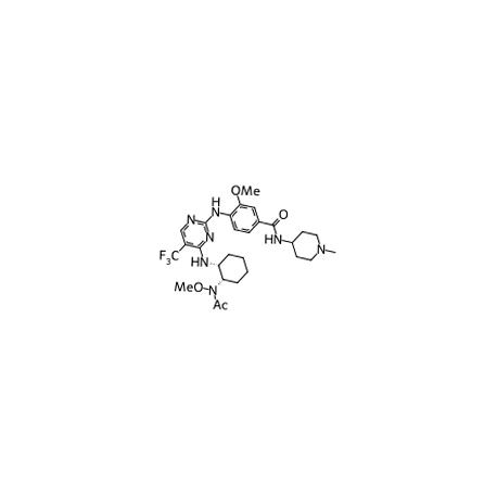 COc1cc(C(=O)NC2CCN(C)CC2)ccc1Nc1ncc(C(F)(F)F)c(N[C@@H]2CCCC[C@@H]2N(OC)C(C)=O)n1